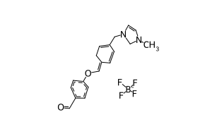 CN1C=CN(CC2=CCC(=COc3ccc(C=O)cc3)C=C2)C1.F[B-](F)(F)F